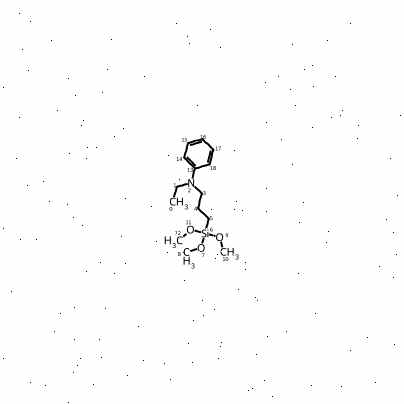 CCN(CCC[Si](OC)(OC)OC)c1ccccc1